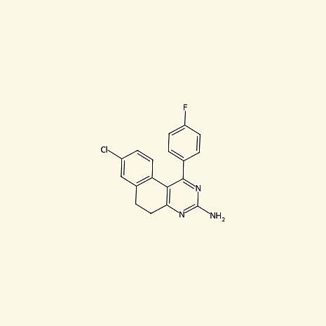 Nc1nc2c(c(-c3ccc(F)cc3)n1)-c1ccc(Cl)cc1CC2